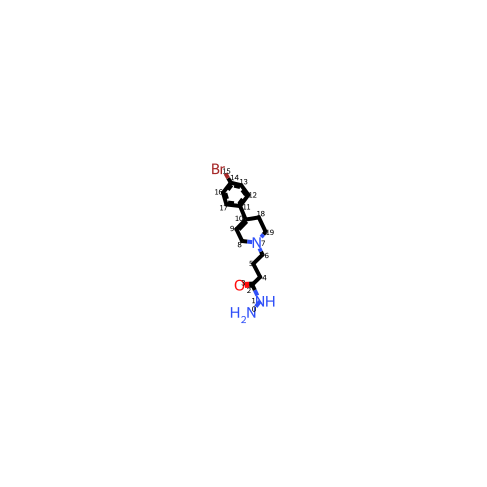 NNC(=O)CCCN1CC=C(c2ccc(Br)cc2)CC1